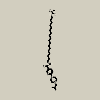 CC(C)CN1CCN(c2ccc(C(=O)NCCCCCCCCCCCCCCCCCCOS(C)(=O)=O)cn2)CC1